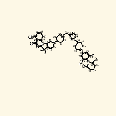 CC1(C)c2ccc(C3CCN(Cc4nnn(C5CCN(c6cc(F)c(N7C(=O)CCCC7=O)c(F)c6)CC5)n4)CC3)cc2-n2c1nc(=O)c1c(Cl)cccc12